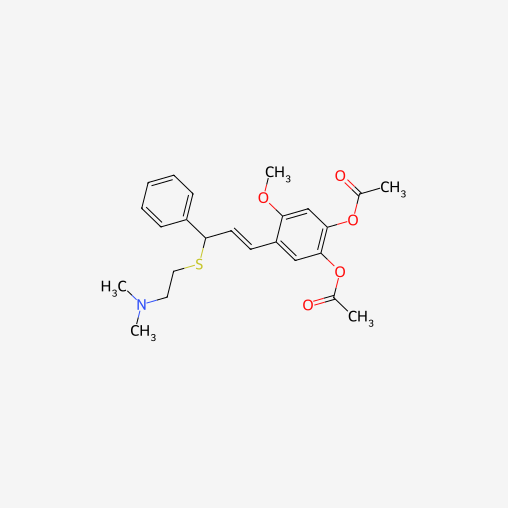 COc1cc(OC(C)=O)c(OC(C)=O)cc1/C=C/C(SCCN(C)C)c1ccccc1